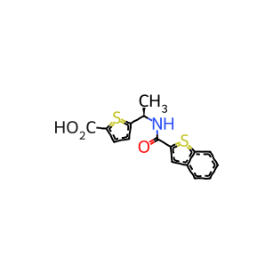 C[C@@H](NC(=O)c1cc2ccccc2s1)c1ccc(C(=O)O)s1